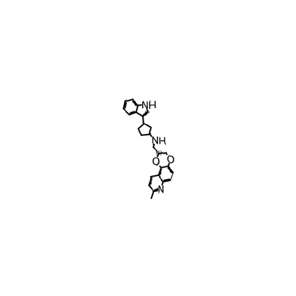 Cc1ccc2c3c(ccc2n1)OC[C@H](CNC1CCC(c2c[nH]c4ccccc24)C1)O3